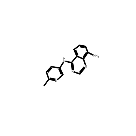 Cc1ccc(Nc2ncnc3c(N)cccc23)cn1